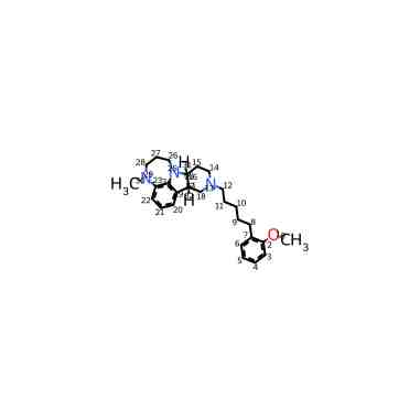 COc1ccccc1CCCCCN1CC[C@@H]2[C@H](C1)c1cccc3c1N2CCCN3C